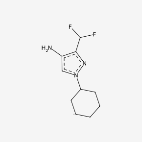 Nc1cn(C2C[CH]CCC2)nc1C(F)F